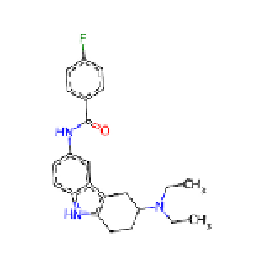 CCN(CC)C1CCc2[nH]c3ccc(NC(=O)c4ccc(F)cc4)cc3c2C1